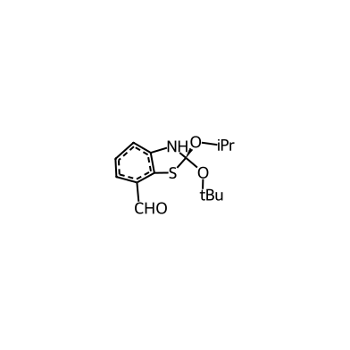 CC(C)O[C@]1(OC(C)(C)C)Nc2cccc(C=O)c2S1